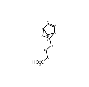 O=C(O)CCCC1CC2C=CC1C2